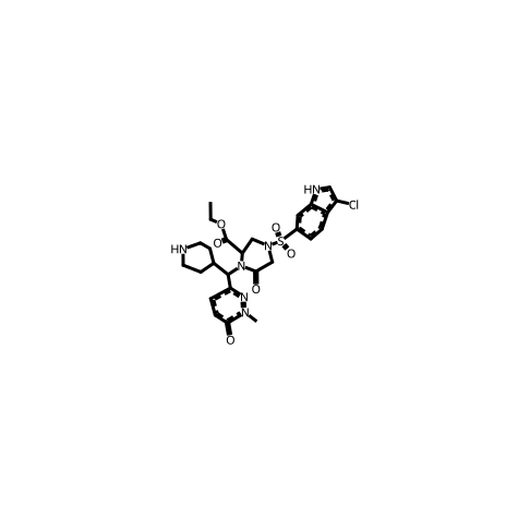 CCOC(=O)C1CN(S(=O)(=O)c2ccc3c(Cl)c[nH]c3c2)CC(=O)N1C(c1ccc(=O)n(C)n1)C1CCNCC1